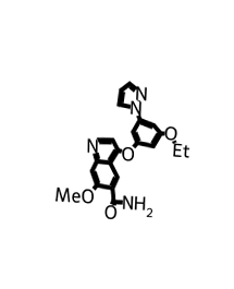 CCOc1cc(Oc2ccnc3cc(OC)c(C(N)=O)cc23)cc(-n2cccn2)c1